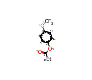 CCC(=O)Oc1ccc(OC(F)(F)F)cc1